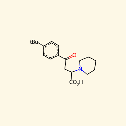 CC(C)(C)c1ccc(C(=O)CC(C(=O)O)N2CCCCC2)cc1